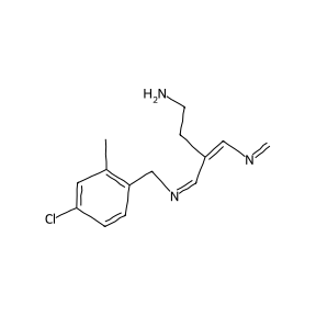 C=N/C=C(\C=N/Cc1ccc(Cl)cc1C)CCN